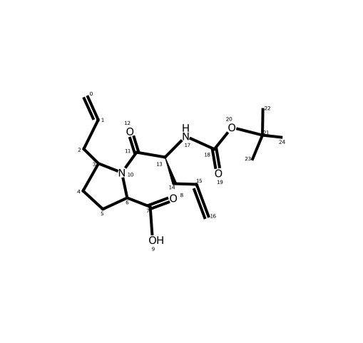 C=CCC1CCC(C(=O)O)N1C(=O)[C@H](CC=C)NC(=O)OC(C)(C)C